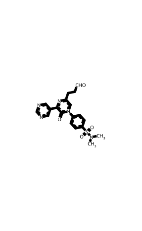 CN(C)S(=O)(=O)c1ccc(-n2cc(CCC=O)nc(-c3cncnc3)c2=O)cc1